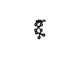 O=P([O-])([O-])OP(=O)([O-])[O-].[Mo+3].[NH4+]